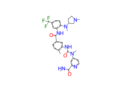 CNC(=O)c1cc(N(C)C(=O)Nc2cc(C(=O)Nc3cc(C(F)(F)F)ccc3N(C)C3CCN(C)C3)ccc2C)ccn1